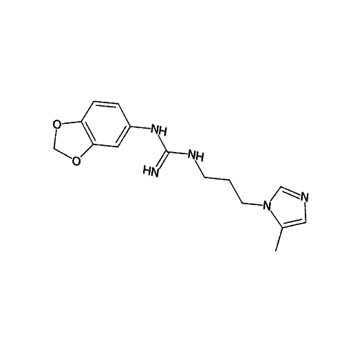 Cc1cncn1CCCNC(=N)Nc1ccc2c(c1)OCO2